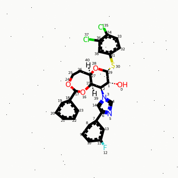 O[C@@H]1[C@@H](n2cnc(-c3cccc(F)c3)c2)[C@H]2OC(c3ccccc3)OCC[C@H]2O[C@@H]1Sc1ccc(Cl)c(Cl)c1